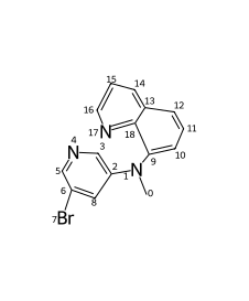 CN(c1cncc(Br)c1)c1cccc2cccnc12